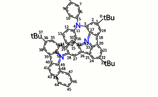 CC(C)(C)c1cc(N(c2ccccc2)c2ccccc2)c2c(c1)c1cc(C(C)(C)C)cc3c4cc5c(cc4n2c31)c1cc(C(C)(C)C)cc2c3ccc4ccccc4c3n5c12